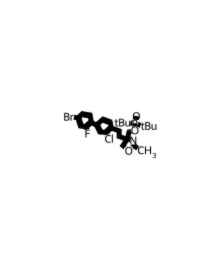 CC1=NC(CCc2ccc(-c3ccc(Br)cc3F)cc2Cl)(COP(=O)(C(C)(C)C)C(C)(C)C)CO1